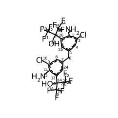 Nc1c(Cl)cc(Cc2cc(Cl)c(N)c(C(O)(C(F)(F)F)C(F)(F)F)c2)cc1C(O)(C(F)(F)F)C(F)(F)F